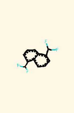 FC(F)c1cccc2c(C(F)F)cccc12